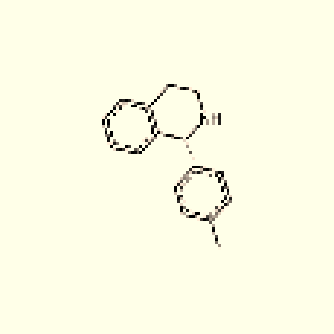 Cc1ccc([C@H]2NCCc3ccccc32)cc1